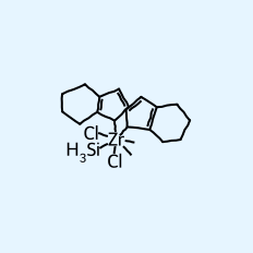 [CH3][Zr]([CH3])([SiH3])([Cl])([Cl])([CH]1C=CC2=C1CCCC2)[CH]1C=CC2=C1CCCC2